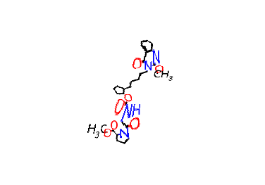 COC(=O)[C@@H]1CCCN1C(=O)CNC(=O)O[C@@H]1CCC[C@H]1CCCCCn1c(OC)nc2ccccc2c1=O